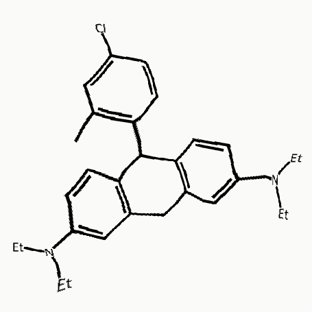 CCN(CC)c1ccc2c(c1)Cc1cc(N(CC)CC)ccc1C2c1ccc(Cl)cc1C